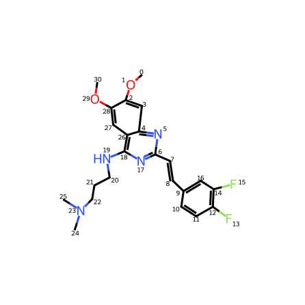 COc1cc2nc(/C=C/c3ccc(F)c(F)c3)nc(NCCCN(C)C)c2cc1OC